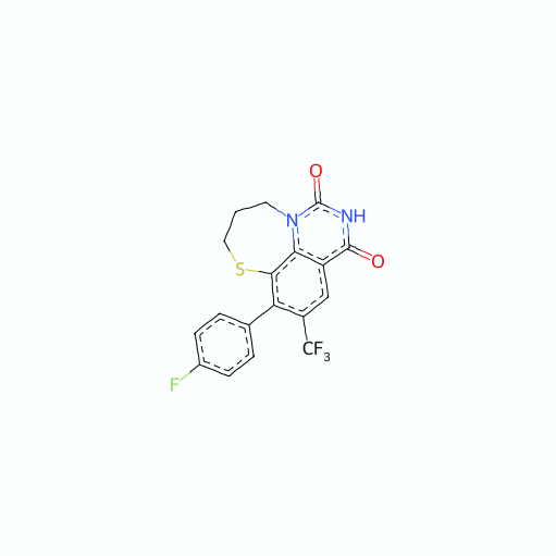 O=c1[nH]c(=O)n2c3c(c(-c4ccc(F)cc4)c(C(F)(F)F)cc13)SCCC2